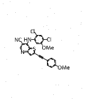 COc1ccc(C#Cc2cc3ncc(C#N)c(Nc4cc(OC)c(Cl)cc4Cl)c3s2)cc1